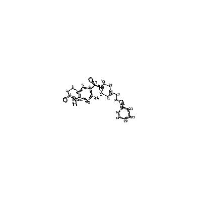 O=C1CCc2cc(C(=O)N3CCN(CCOc4ccccc4)CC3)ccc2N1